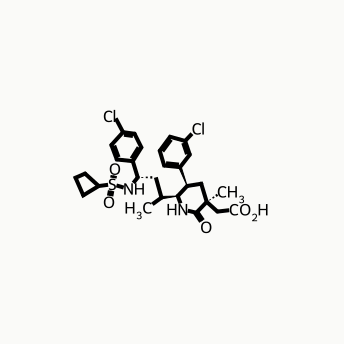 CC(C[C@H](NS(=O)(=O)C1CCC1)c1ccc(Cl)cc1)[C@@H]1NC(=O)[C@](C)(CC(=O)O)C[C@@H]1c1cccc(Cl)c1